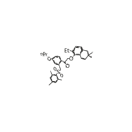 CCCOc1ccc(C(=O)COc2c(CC)ccc3c2C=CC(C)(C)C3)c(CS(=O)(=O)c2c(C)cc(C)cc2C)c1